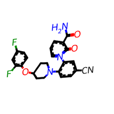 N#Cc1ccc(N2CCC(Oc3ccc(F)cc3F)CC2)c(-n2cccc(C(N)=O)c2=O)c1